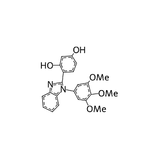 COc1cc(-n2c(-c3ccc(O)cc3O)nc3ccccc32)cc(OC)c1OC